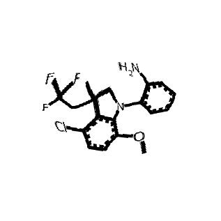 COc1ccc(Cl)c2c1N(c1ccccc1N)CC2(C)CC(F)(F)F